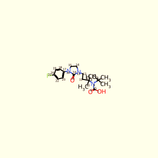 CC(C)(C)N(C(=O)O)C(C)(C)CCN1CCN(c2ccc(F)cc2)C1=O